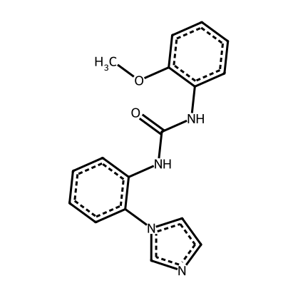 COc1ccccc1NC(=O)Nc1ccccc1-n1ccnc1